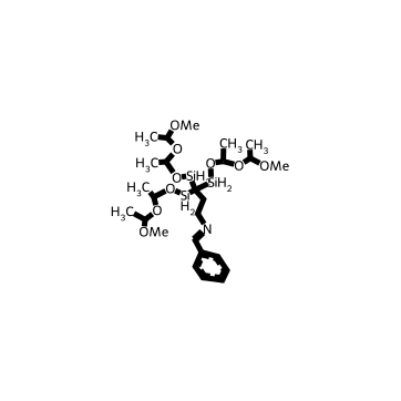 COC(C)OC(C)O[SiH2]C(CCN=Cc1ccccc1)([SiH2]OC(C)OC(C)OC)[SiH2]OC(C)OC(C)OC